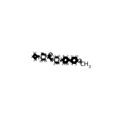 COc1ccc(-c2ccc(N3CCN(CC(=O)N4CCN(C5CCC5)CC4)CC3)cc2)cc1